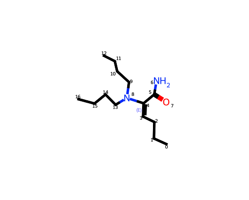 CCC/C=C(\C(N)=O)N(CCCC)CCCC